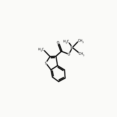 Cc1sc2ccccc2c1C(=O)O[Si](C)(C)C